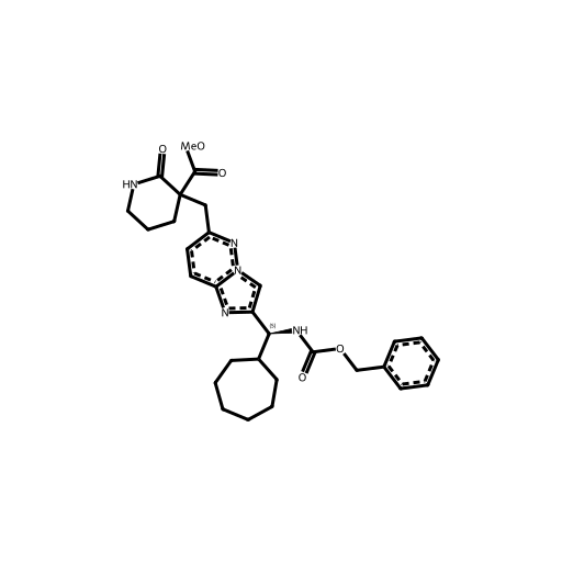 COC(=O)C1(Cc2ccc3nc([C@@H](NC(=O)OCc4ccccc4)C4CCCCCC4)cn3n2)CCCNC1=O